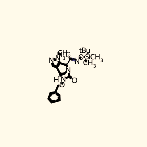 C/C(=N\O[Si](C)(C)C(C)(C)C)[C@@H]1c2c(cnn2C)[C@H]2CN1C(=O)N2OCc1ccccc1